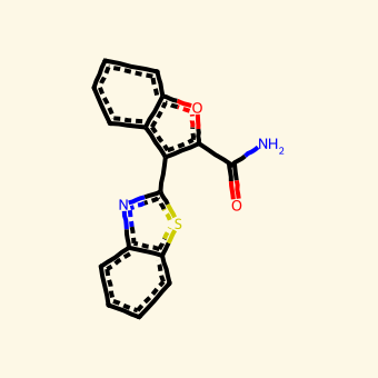 NC(=O)c1oc2ccccc2c1-c1nc2ccccc2s1